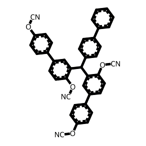 N#COc1ccc(-c2ccc(OC#N)c(C(c3ccc(-c4ccccc4)cc3)c3cc(-c4ccc(OC#N)cc4)ccc3OC#N)c2)cc1